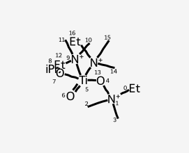 CC[N+](C)(C)[O][Ti](=[O])([O]C(C)C)([N+](C)(C)CC)[N+](C)(C)CC